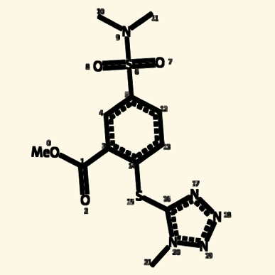 COC(=O)c1cc(S(=O)(=O)N(C)C)ccc1Sc1nnnn1C